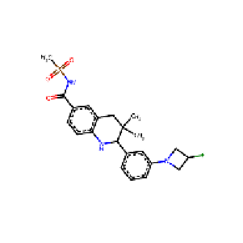 CC1(C)Cc2cc(C(=O)NS(C)(=O)=O)ccc2NC1c1cccc(N2CC(F)C2)c1